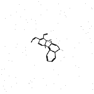 C=CC1=C(/C=C\C)C=CC2(C)C3=C4C=CC=CC4[C@@H](C)C=C3SC12